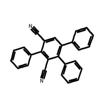 N#Cc1cc(-c2ccccc2)c(-c2ccccc2)c(C#N)c1-c1ccccc1